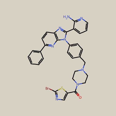 Nc1ncccc1-c1nc2ccc(-c3ccccc3)nc2n1-c1ccc(CN2CCN(C(=O)c3cnc(Br)s3)CC2)cc1